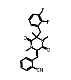 CN1C(=O)C(C)(Cc2cccc(F)c2F)N(C)C(=O)/C1=C/c1ccccc1C#N